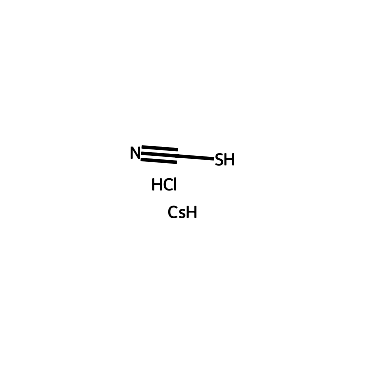 Cl.N#CS.[CsH]